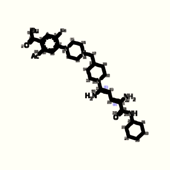 CCC(C)C(=O)c1cc(F)c(N2CCN(CC3CCN(/C(N)=C/C=C(\N)C(=O)NC4CCCCC4)CC3)CC2)cc1C(C)=O